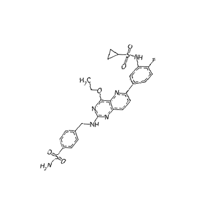 CCOc1nc(NCc2ccc(S(N)(=O)=O)cc2)nc2ccc(-c3ccc(F)c(NS(=O)(=O)C4CC4)c3)nc12